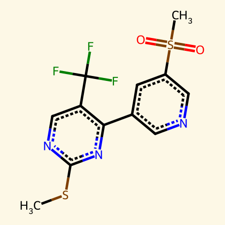 CSc1ncc(C(F)(F)F)c(-c2cncc(S(C)(=O)=O)c2)n1